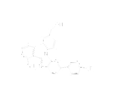 Nc1ncccc1-c1nc2ccc(-c3ccc(C(F)(F)F)nc3)nc2n1-c1ccc(CO)cc1